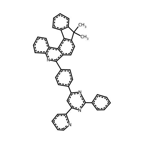 CC1(C)c2ccccc2-c2c1ccc1c(-c3ccc(-c4cc(-c5ccccn5)nc(-c5ccccc5)n4)cc3)nc3ccccc3c21